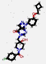 O=C(c1ccc(F)cc1)N1CCC(O)(Cn2cnc3c(cnn3-c3cccc(OCC4CCC4)c3)c2=O)CC1